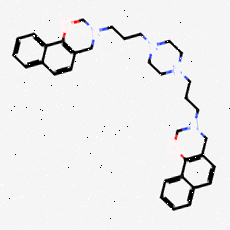 c1ccc2c3c(ccc2c1)CN(CCCN1CCN(CCCN2COc4c(ccc5ccccc45)C2)CC1)CO3